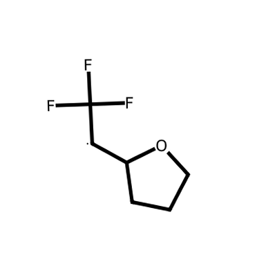 FC(F)(F)[CH]C1CCCO1